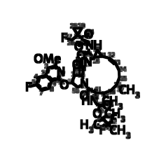 COc1cc2cc(F)ccc2c(O[C@@H]2C[C@H]3C(=O)N[C@]4(C(=O)NS(=O)(=O)C5(CF)CC5)CC4/C=C\CC[C@H](C)C[C@@H](C)[C@H](NC(=O)OC(C)(C)C(C)(F)F)C(=O)N3C2)n1